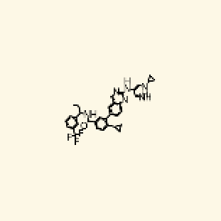 CCC(NC(=O)c1ccc(C2CC2)c(-c2ccc3nc(N/C(C=N)=C/NC4CC4)ncc3c2)c1)c1cccc(C(F)(F)F)c1